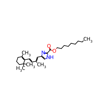 CCCCCCCCCOC(=O)c1nc(C=C(C)C=CC2=C(C)CCCC2(C)C)c[nH]1